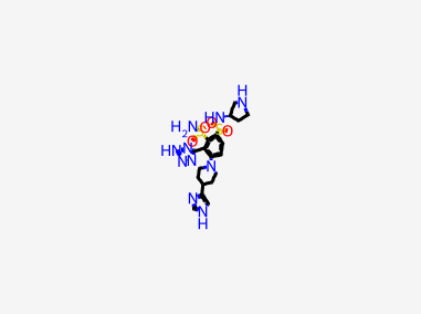 NS(=O)(=O)c1c(S(=O)(=O)N[C@@H]2CCNC2)ccc(N2CCC(c3c[nH]cn3)CC2)c1-c1nn[nH]n1